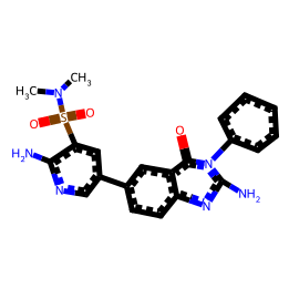 CN(C)S(=O)(=O)c1cc(-c2ccc3nc(N)n(-c4ccccc4)c(=O)c3c2)cnc1N